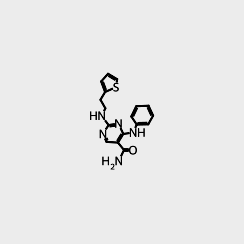 NC(=O)c1cnc(NCCc2cccs2)nc1Nc1ccccc1